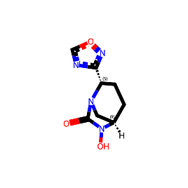 O=C1N(O)[C@@H]2CC[C@@H](c3ncon3)N1C2